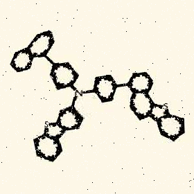 c1ccc2c(-c3ccc(N(c4ccc(-c5cccc6c5ccc5c7ccccc7sc65)cc4)c4ccc5c(c4)sc4ccccc45)cc3)cccc2c1